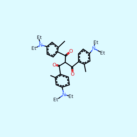 CCN(CC)c1ccc(C(=O)C(C(=O)c2ccc(N(CC)CC)cc2C)C(=O)c2ccc(N(CC)CC)cc2C)c(C)c1